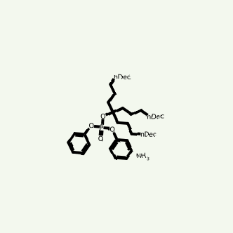 CCCCCCCCCCCCCC(CCCCCCCCCCCCC)(CCCCCCCCCCCCC)OP(=O)(Oc1ccccc1)Oc1ccccc1.N